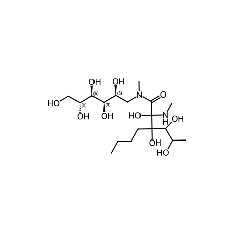 CCCCC(O)(C(O)C(C)O)C(O)(NC)C(=O)N(C)C[C@H](O)[C@@H](O)[C@H](O)[C@H](O)CO